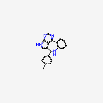 Cc1ccc(C2Nc3ccccc3-c3ncnc4[nH]cc2c34)cc1